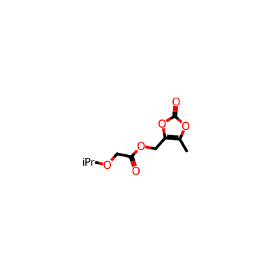 Cc1oc(=O)oc1COC(=O)COC(C)C